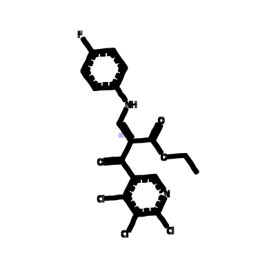 CCOC(=O)/C(=C\Nc1ccc(F)cc1)C(=O)c1cnc(Cl)c(Cl)c1Cl